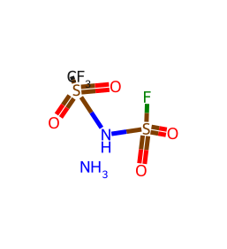 N.O=S(=O)(F)NS(=O)(=O)C(F)(F)F